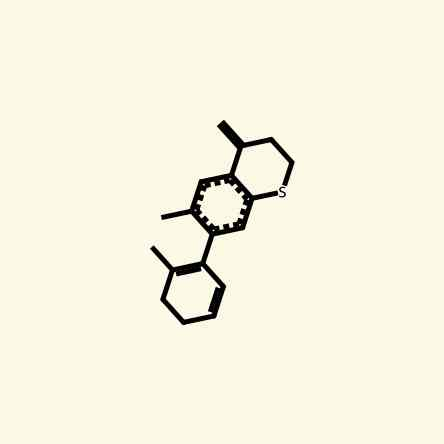 C=C1CCSc2cc(C3=C(C)CCC=C3)c(C)cc21